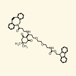 CC1(C)CC(=O)C(=C(CCOCCOCCNC(=O)OCC2c3ccccc3-c3ccccc32)NCCC(=O)N2Cc3ccccc3C#Cc3ccccc32)C(=O)C1